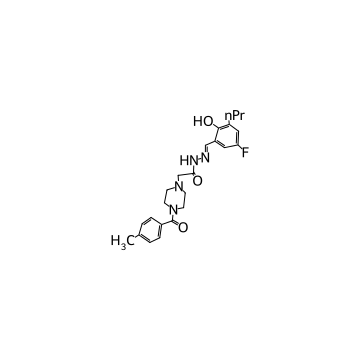 CCCc1cc(F)cc(/C=N/NC(=O)CN2CCN(C(=O)c3ccc(C)cc3)CC2)c1O